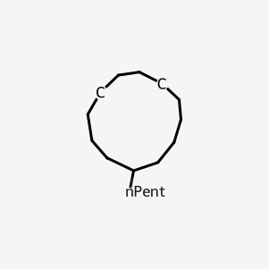 [CH2]CCCCC1CCCCCCCCCCC1